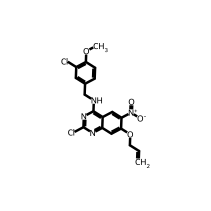 C=CCOc1cc2nc(Cl)nc(NCc3ccc(OC)c(Cl)c3)c2cc1[N+](=O)[O-]